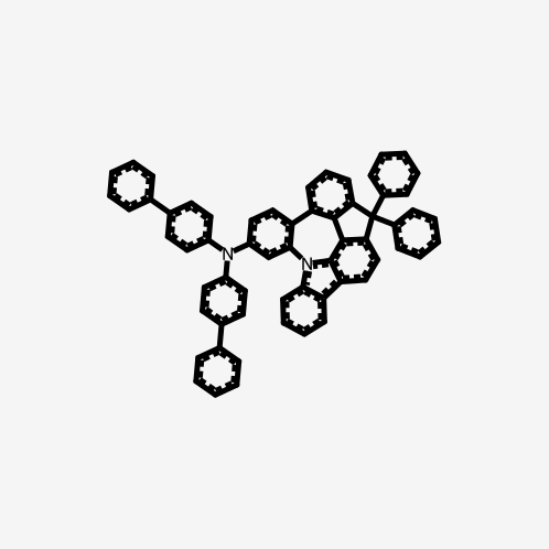 c1ccc(-c2ccc(N(c3ccc(-c4ccccc4)cc3)c3ccc4c(c3)-n3c5ccccc5c5ccc6c(c53)-c3c-4cccc3C6(c3ccccc3)c3ccccc3)cc2)cc1